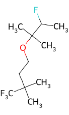 CC(F)C(C)(C)OCCC(C)(C)C(F)(F)F